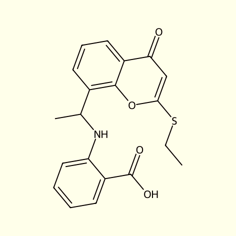 CCSc1cc(=O)c2cccc(C(C)Nc3ccccc3C(=O)O)c2o1